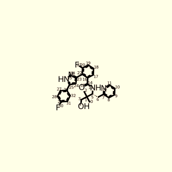 CC(C)(CO)[C@@H](Cc1ccccn1)NC(=O)c1cccc(F)c1-c1cc(-c2ccc(F)cc2)[nH]n1